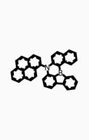 c1ccc2c(c1)B1c3c-2cccc3N(c2ccc3ccc4cccc5ccc2c3c45)c2ccc3ccccc3c21